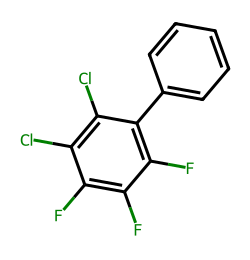 Fc1c(F)c(Cl)c(Cl)c(-c2ccccc2)c1F